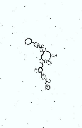 C/C(=C\c1cc(F)cc(N2CCN(C(=O)Cn3cccn3)CC2)c1)[C@H]1OC(=O)C[C@H](O)CC[C@H](C)[C@@H](OC(=O)N2CCN(C3CCCCCC3)CC2)/C=C/[C@@H]1C